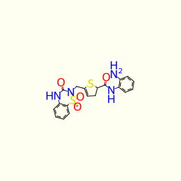 Nc1ccccc1NC(=O)C1CC=C(CN2C(=O)Nc3ccccc3S2(=O)=O)S1